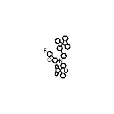 Fc1ccc2c(c1)oc1ccc(N(c3cccc(-c4cccc(C5(c6ccccc6)c6ccccc6-c6ccccc65)c4)c3)c3ccc4c(c3)C3(c5ccccc5O4)c4ccccc4-c4ccccc43)cc12